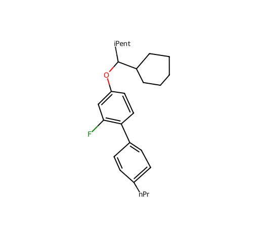 CCCc1ccc(-c2ccc(OC(C(C)CCC)C3CCCCC3)cc2F)cc1